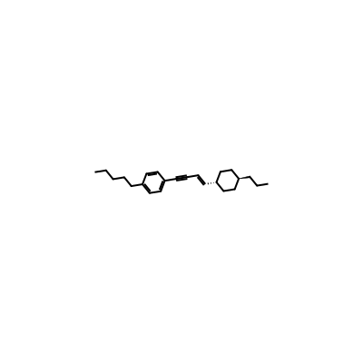 CCCCCc1ccc(C#CC=C[C@H]2CC[C@H](CCC)CC2)cc1